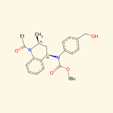 CCC(=O)N1c2ccccc2[C@H](N(C(=O)OC(C)(C)C)c2ccc(CO)cc2)C[C@@H]1C